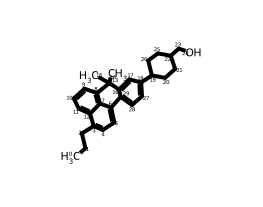 CCCc1ccc2c3c(cccc13)C(C)(C)c1cc(C3CCC(CO)CC3)ccc1-2